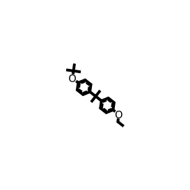 CCOc1ccc(C(C)(C)c2ccc(OC(C)(C)C)cc2)cc1